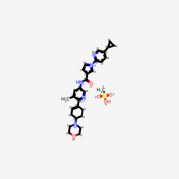 CS(=O)(=O)O.Cc1cc(NC(=O)c2ccn(-c3ccc(C4CC4)cn3)c2)cnc1C1=CCC(N2CCOCC2)CC1